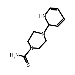 NC(=S)N1CCN(C2C=CC=CN2)CC1